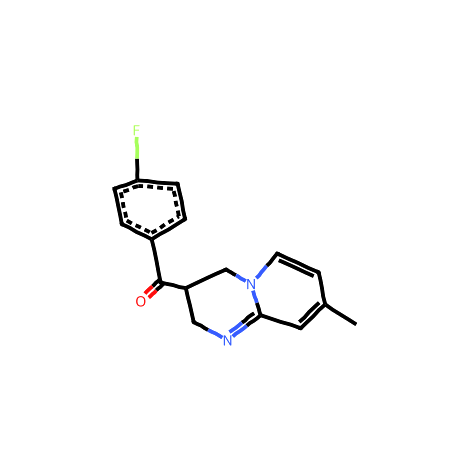 CC1=CC2=NCC(C(=O)c3ccc(F)cc3)CN2C=C1